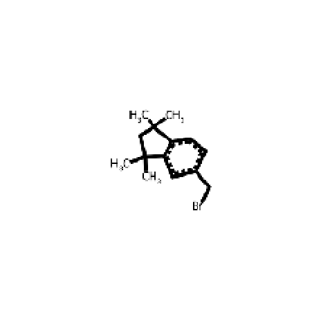 CC1(C)CC(C)(C)c2cc(CBr)ccc21